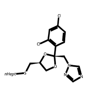 CCCCCCCSC[C@@H]1CO[C@@](Cn2cncn2)(c2ccc(Cl)cc2Cl)O1